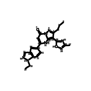 CCCc1nn2c(=O)cc(-c3ccc4c(cnn4CC)c3)[nH]c2c1-c1nc(C)no1